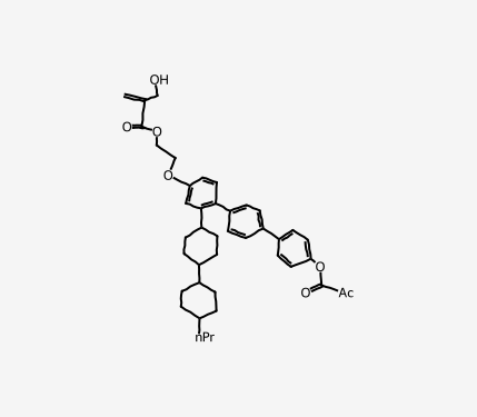 C=C(CO)C(=O)OCCOc1ccc(-c2ccc(-c3ccc(OC(=O)C(C)=O)cc3)cc2)c(C2CCC(C3CCC(CCC)CC3)CC2)c1